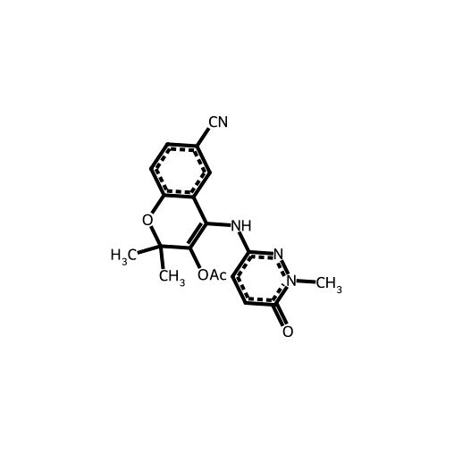 CC(=O)OC1=C(Nc2ccc(=O)n(C)n2)c2cc(C#N)ccc2OC1(C)C